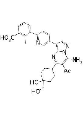 CC(=O)c1c(C2CCC(O)(CO)CC2)nc2c(-c3ccc(-c4cccc(C(=O)O)c4C)nc3)cnn2c1N